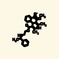 COC(=O)C1=C(C)NC(C)=C(C(=O)OCCNC(C)c2ccccc2)C1c1ccccc1[N+](=O)[O-]